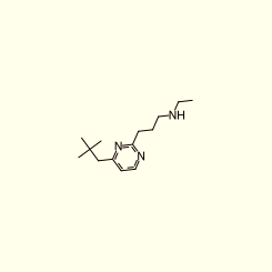 CCNCCCc1nccc(CC(C)(C)C)n1